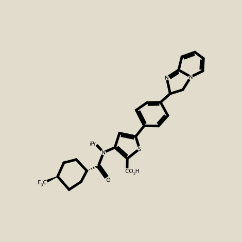 CC(C)N(c1cc(-c2ccc(C3CN4C=CC=CC4=N3)cc2)sc1C(=O)O)C(=O)[C@H]1CC[C@H](C(F)(F)F)CC1